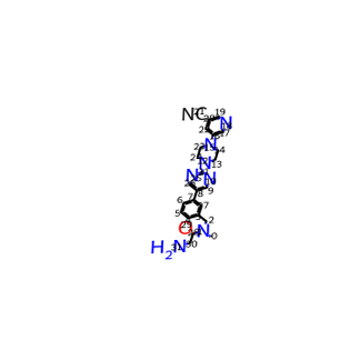 CN(Cc1cccc(-c2cnc(N3CCN(c4cncc(C#N)c4)CC3)nc2)c1)C(=O)CN